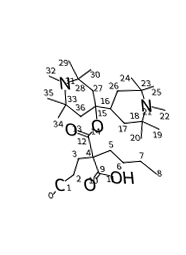 CCCCC(CCCC)(C(=O)O)C(=O)OC1(C2CC(C)(C)N(C)C(C)(C)C2)CC(C)(C)N(C)C(C)(C)C1